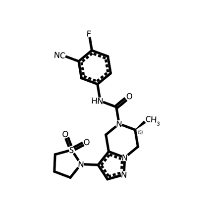 C[C@H]1Cn2ncc(N3CCCS3(=O)=O)c2CN1C(=O)Nc1ccc(F)c(C#N)c1